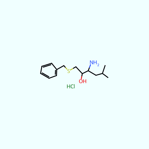 CC(C)CC(N)C(O)CSCc1ccccc1.Cl